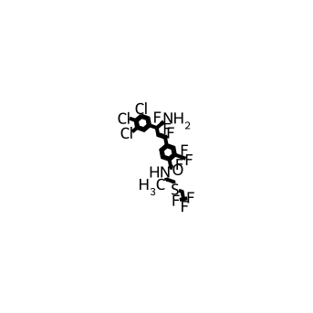 CC(CSCC(F)(F)F)NC(=O)c1ccc(/C(F)=C/C(c2cc(Cl)c(Cl)c(Cl)c2)C(N)(F)F)cc1C(F)(F)F